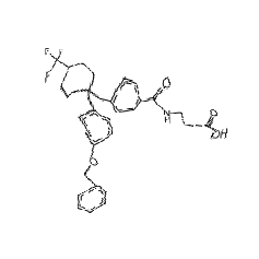 O=C(O)CCNC(=O)c1ccc(C2(c3ccc(OCc4ccccc4)cc3)CCC(C(F)(F)F)CC2)cc1